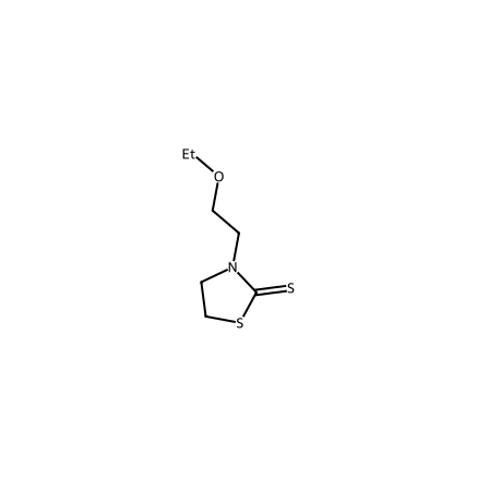 CCOCCN1CCSC1=S